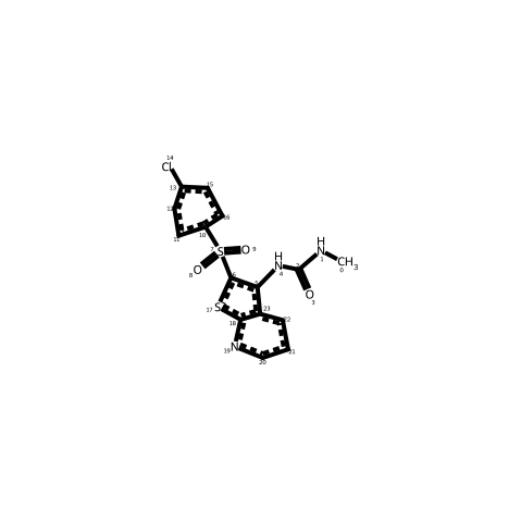 CNC(=O)Nc1c(S(=O)(=O)c2ccc(Cl)cc2)sc2ncccc12